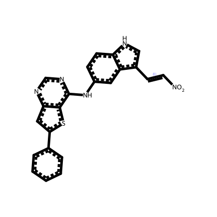 O=[N+]([O-])/C=C/c1c[nH]c2ccc(Nc3ncnc4cc(-c5ccccc5)sc34)cc12